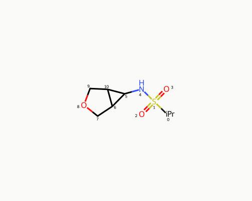 CC(C)S(=O)(=O)NC1C2COCC21